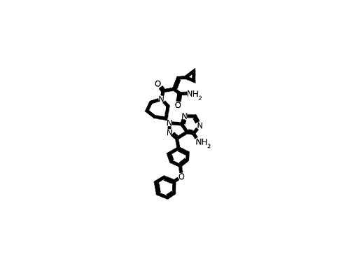 NC(=O)C(=CC1CC1)C(=O)N1CCC[C@@H](n2nc(-c3ccc(Oc4ccccc4)cc3)c3c(N)ncnc32)C1